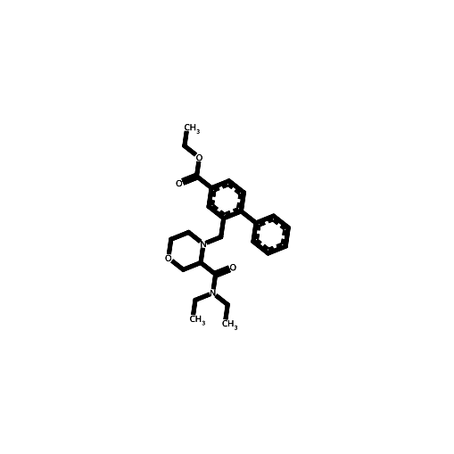 CCOC(=O)c1ccc(-c2ccccc2)c(CN2CCOCC2C(=O)N(CC)CC)c1